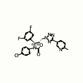 Cc1ccc(-c2nnn(C[C@@H]3OC(=O)N(c4ccc(Cl)cc4)[C@H]3c3cc(F)cc(F)c3)n2)cn1